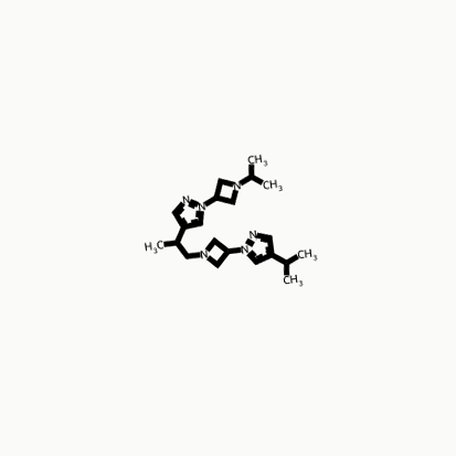 CC(C)c1cnn(C2CN(CC(C)c3cnn(C4CN(C(C)C)C4)c3)C2)c1